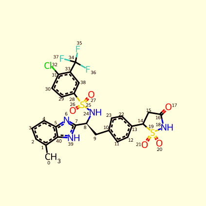 Cc1cccc2nc([C@H](Cc3ccc(C4CC(=O)NS4(=O)=O)cc3)NS(=O)(=O)c3ccc(Cl)c(C(F)(F)F)c3)[nH]c12